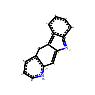 C1=C2N=c3ccccc3=C2Cc2cccnc21